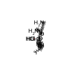 CC(C)CCCC(C)[C@H]1CC[C@H]2[C@@H]3CC=C4C[C@@H](OC(=O)CCCC(=O)N(CCCCCCCC(C)N)CCC(C)N)CC[C@]4(C)[C@H]3CC[C@]12C.Cl.Cl